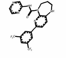 O=C(Nc1cnccn1)N1CCCNc2ccc(-c3cc(C(F)(F)F)cc(C(F)(F)F)c3)nc21